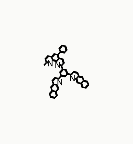 Cc1ccc2cc(-c3ccccc3)c3ccc(-c4cc(-c5ccc6cc7ccccc7cc6n5)cc(-c5ccc6cc7ccccc7cc6n5)c4)nc3c2n1